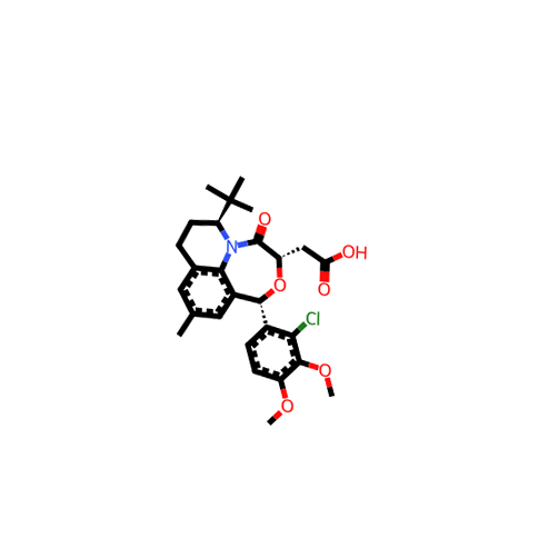 COc1ccc([C@H]2O[C@@H](CC(=O)O)C(=O)N3c4c(cc(C)cc42)CC[C@H]3C(C)(C)C)c(Cl)c1OC